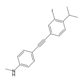 CNc1ccc(C#Cc2ccc(C(C)C)c(I)c2)cc1